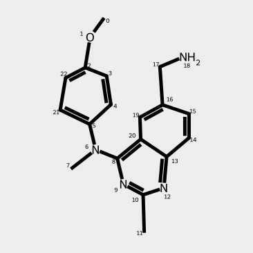 COc1ccc(N(C)c2nc(C)nc3ccc(CN)cc23)cc1